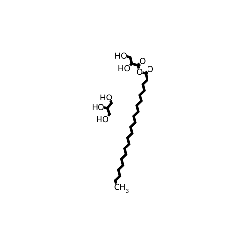 CCCCCCCCCCCCCCCCCCCCCC(=O)OC(=O)C(O)CO.OCC(O)CO